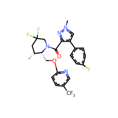 C[C@@H]1CC(F)(F)CN(C(=O)c2nn(C)cc2-c2ccc(F)cc2)[C@@H]1COc1ccc(C(F)(F)F)cn1